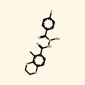 Cc1c(C(=O)NN(C(=O)c2ccc(F)cc2)C(C)(C)C)ccc2c1OCCO2